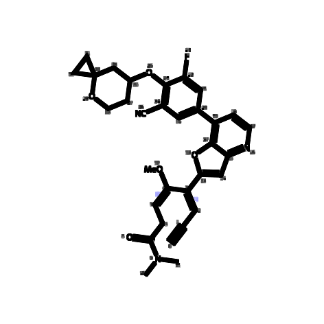 C#C/C=C(\C(=C/CC(=O)N(C)C)OC)c1cc2nccc(-c3cc(F)c(OC4CCOC5(CC5)C4)c(C#N)c3)c2o1